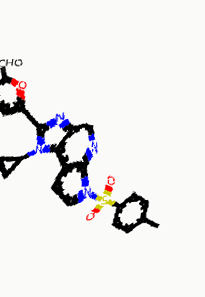 Cc1ccc(S(=O)(=O)n2ccc3c2ncc2nc(-c4ccc(C=O)o4)n(C4CC4)c23)cc1